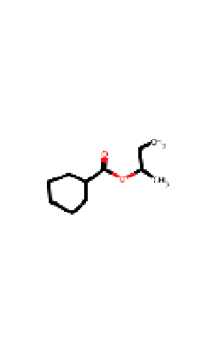 CCC(C)OC(=O)C1CCCCC1